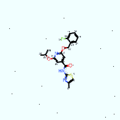 Cc1csc(NC(=O)c2cc(OCc3ccccc3F)nc(OC(C)C)c2)n1